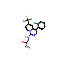 C[C@H](O)CNC1=NCC(c2ccccc2Cl)=C2C=C(C(F)(F)F)C=CN12